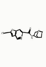 O=C(NC1CN2CCC1C2)c1cc2oc(Cl)cc2cn1